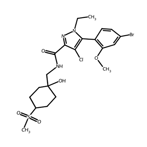 CCn1nc(C(=O)NCC2(O)CCC(S(C)(=O)=O)CC2)c(Cl)c1-c1ccc(Br)cc1OC